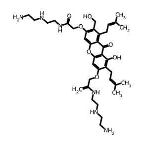 C=C(COc1cc2oc3cc(OCC(=O)NCCNCCN)c(CO)c(CC=C(C)C)c3c(=O)c2c(O)c1CC=C(C)C)NCCNCCN